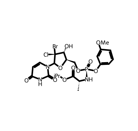 COc1cccc(O[P@](=O)(N[C@H](C)C(=O)OC(C)C)OC[C@H]2OC(n3ccc(=O)[nH]c3=O)[C@](Cl)(Br)[C@@H]2O)c1